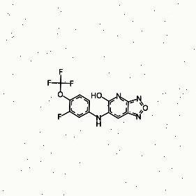 Oc1nc2nonc2cc1Nc1ccc(OC(F)(F)F)c(F)c1